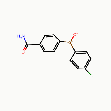 NC(=O)c1ccc([S+]([O-])c2ccc(F)cc2)cc1